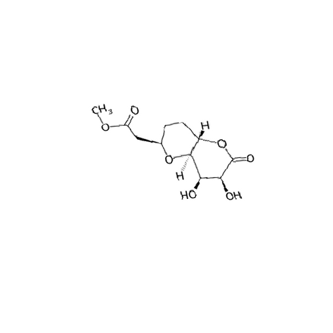 COC(=O)C[C@H]1CC[C@@H]2OC(=O)[C@@H](O)[C@@H](O)[C@H]2O1